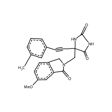 COc1ccc2c(c1)C(=O)N(CC1(C#Cc3cccc(C)c3)NC(=O)NC1=O)C2